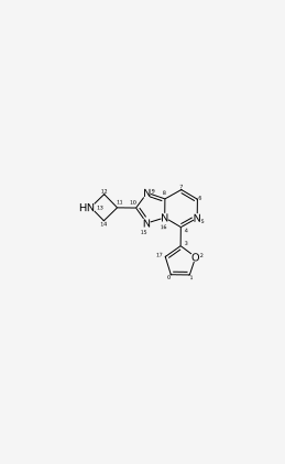 c1coc(-c2nccc3nc(C4CNC4)nn23)c1